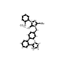 CCCCc1nn(-c2ccccc2C(=O)O)c(=O)n1Cc1ccc(-c2ccccc2-c2nnn[nH]2)cc1